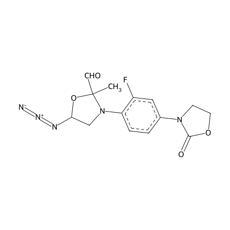 CC1(C=O)OC(N=[N+]=[N-])CN1c1ccc(N2CCOC2=O)cc1F